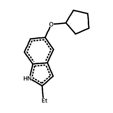 CCc1cc2cc(OC3CCCC3)ccc2[nH]1